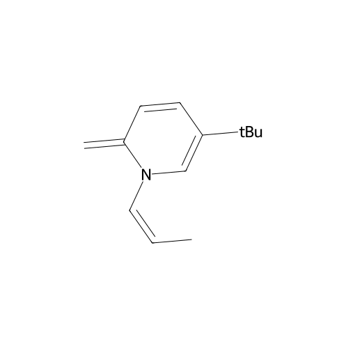 C=C1C=CC(C(C)(C)C)=CN1/C=C\C